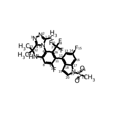 Cc1nnc2n1-c1c(cc(F)c(-c3cc(F)cc4c3ccn4S(C)(=O)=O)c1C(F)(F)F)NC2(C)C